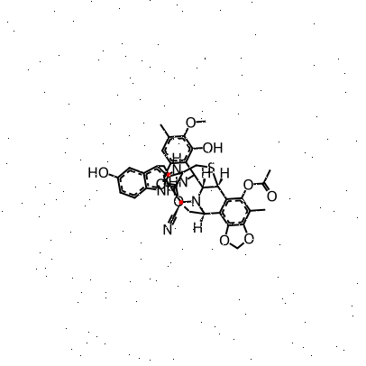 COc1c(C)cc2c(c1O)C1NC(C2)[C@H](C#N)N2[C@H]1[C@@H]1SC[C@]3(NCCc4c3[nH]c3ccc(O)cc43)C(=O)OC[C@H]2c2c3c(c(C)c(OC(C)=O)c21)OCO3